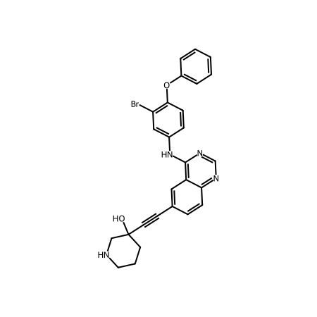 OC1(C#Cc2ccc3ncnc(Nc4ccc(Oc5ccccc5)c(Br)c4)c3c2)CCCNC1